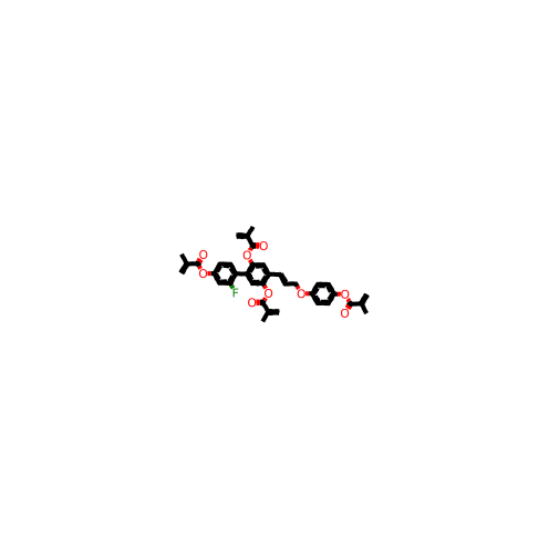 C=C(C)C(=O)Oc1ccc(OC/C=C/c2cc(OC(=O)C(=C)C)c(-c3ccc(OC(=O)C(=C)C)cc3F)cc2OC(=O)C(=C)C)cc1